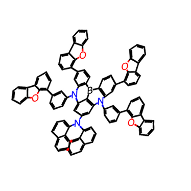 c1cc(-c2cccc3c2oc2ccccc23)cc(N2c3cc(-c4cccc5c4oc4ccccc45)ccc3B3c4ccc(-c5cccc6c5oc5ccccc56)cc4N(c4cccc(-c5cccc6c5oc5ccccc56)c4)c4cc(N(c5cccc6ccccc56)c5cccc6ccccc56)cc2c43)c1